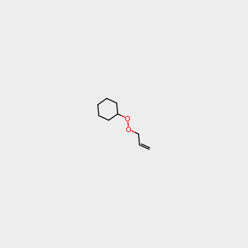 C=CCOOC1CCCCC1